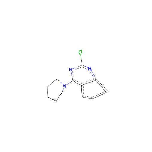 Clc1nc(N2CCCCC2)c2ccccc2n1